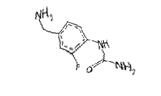 NCc1ccc(NC(N)=O)c(F)c1